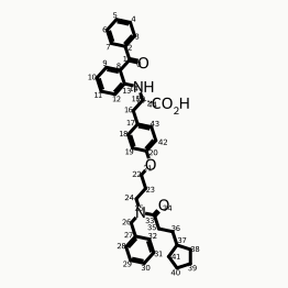 O=C(c1ccccc1)c1ccccc1N[C@@H](Cc1ccc(OCCCN(Cc2ccccc2)C(=O)CCC2CCCC2)cc1)C(=O)O